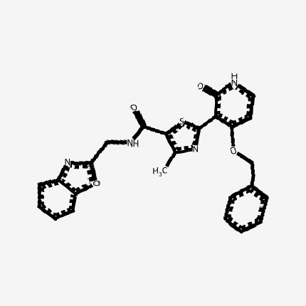 Cc1nc(-c2c(OCc3ccccc3)cc[nH]c2=O)sc1C(=O)NCc1nc2ccccc2o1